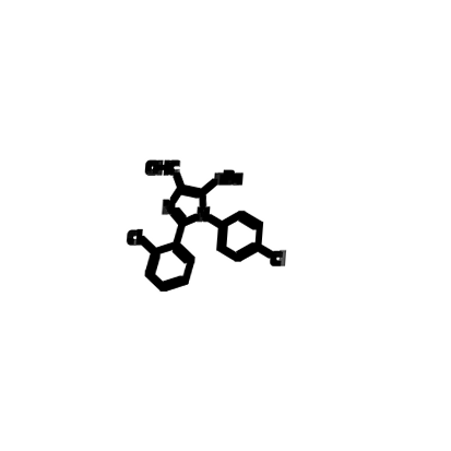 CCCCc1c(C=O)nc(-c2ccccc2Cl)n1-c1ccc(Cl)cc1